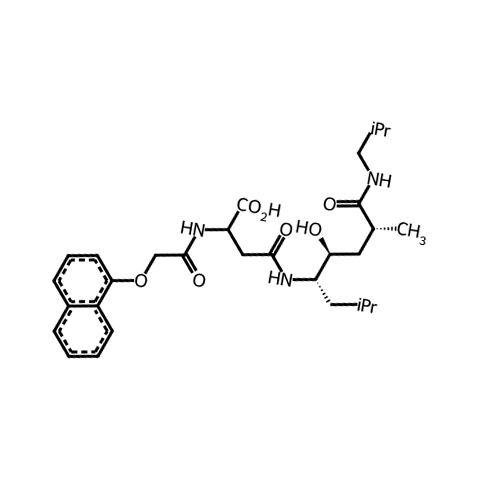 CC(C)CNC(=O)[C@H](C)C[C@H](O)[C@H](CC(C)C)NC(=O)CC(NC(=O)COc1cccc2ccccc12)C(=O)O